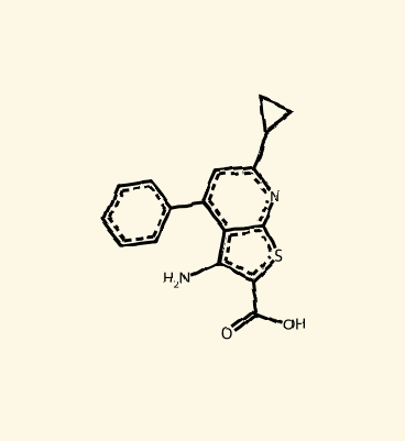 Nc1c(C(=O)O)sc2nc(C3CC3)cc(-c3ccccc3)c12